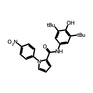 CC(C)(C)c1cc(NC(=O)c2cccn2-c2ccc([N+](=O)[O-])cc2)cc(C(C)(C)C)c1O